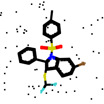 Cc1ccc(S(=O)(=O)n2c(-c3ccccc3)c(SC(F)F)c3ccc(Br)cc32)cc1